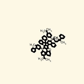 C=C(/C=C\C(C)=C(/C)c1ccccc1)N(c1ccc(C(C)C)cc1)c1cc2c(c3ccccc13)-c1c(cc(N(c3ccc(C(C)C)cc3)c3ccc(C)c(-c4ccccc4)c3)c3c1oc1ccccc13)C2(c1ccccc1)c1ccccc1